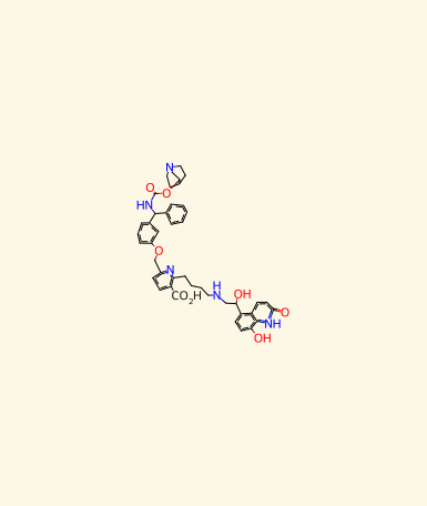 O=C(NC(c1ccccc1)c1cccc(OCc2ccc(C(=O)O)c(CCCCNCC(O)c3ccc(O)c4[nH]c(=O)ccc34)n2)c1)OC1CN2CCC1CC2